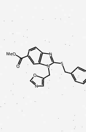 COC(=O)c1ccc2nc(SCc3ccccc3)n(Cc3cnco3)c2c1